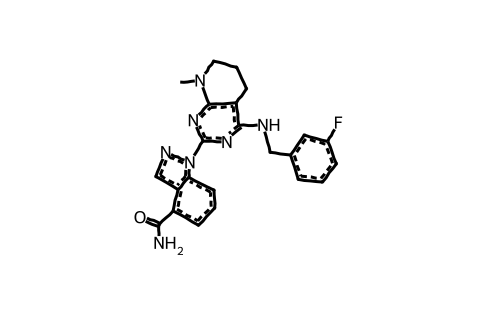 CN1CCCc2c(NCc3cccc(F)c3)nc(-n3ncc4c(C(N)=O)cccc43)nc21